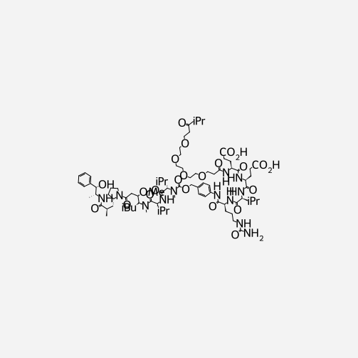 CC[C@H](C)[C@@H]([C@@H](CC(=O)N1CCC[C@H]1C[C@@H](C)C(=O)N[C@H](C)[C@@H](O)c1ccccc1)OC)N(C)C(=O)[C@@H](NC(=O)[C@H](C(C)C)N(C)C(=O)OCc1ccc(NC(=O)[C@H](CCCNC(N)=O)NC(=O)[C@@H](NC(=O)[C@H](CCC(=O)O)NC(=O)[C@H](CCC(=O)O)NC(=O)CCOCCOCCOCCOCCC(=O)C(C)C)C(C)C)cc1)C(C)C